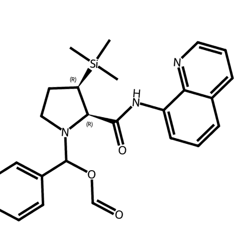 C[Si](C)(C)[C@@H]1CCN(C(OC=O)c2ccccc2)[C@@H]1C(=O)Nc1cccc2cccnc12